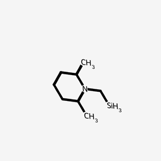 CC1CCCC(C)N1C[SiH3]